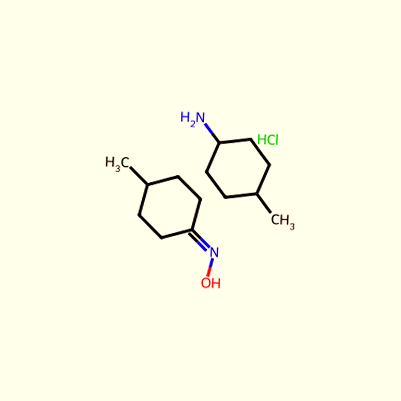 CC1CCC(=NO)CC1.CC1CCC(N)CC1.Cl